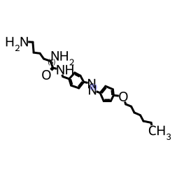 CCCCCCCOc1ccc(/N=N/c2ccc(CNC(=O)[C@@H](N)CCCCN)cc2)cc1